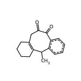 CC1C2=C(CCCC2)CC(=O)C(=O)c2ccccc21